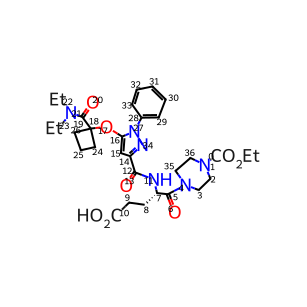 CCOC(=O)N1CCN(C(=O)[C@H](CCC(=O)O)NC(=O)c2cc(OC3(C(=O)N(CC)CC)CCC3)n(-c3ccccc3)n2)CC1